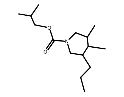 CCCC1CN(C(=O)OCC(C)C)CC(C)C1C